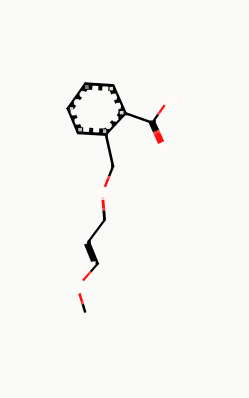 COC=CCOCc1ccccc1C(=O)O